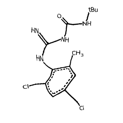 Cc1cc(Cl)cc(Cl)c1NC(=N)NC(=O)NC(C)(C)C